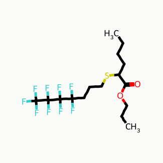 CCCCC(SCCCC(F)(F)C(F)(F)C(F)(F)C(F)(F)F)C(=O)OCCC